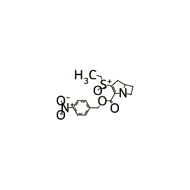 CC[S+]([O-])C1=C(C(=O)OCc2ccc([N+](=O)[O-])cc2)N2CCC2C1